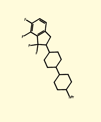 CCCC1CCC(C2CCC(C3Cc4ccc(F)c(F)c4C3(F)F)CC2)CC1